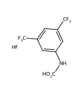 F.O=C(O)Nc1cc(C(F)(F)F)cc(C(F)(F)F)c1